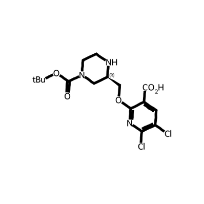 CC(C)(C)OC(=O)N1CCN[C@@H](COc2nc(Cl)c(Cl)cc2C(=O)O)C1